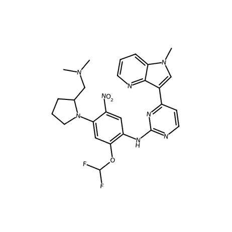 CN(C)CC1CCCN1c1cc(OC(F)F)c(Nc2nccc(-c3cn(C)c4cccnc34)n2)cc1[N+](=O)[O-]